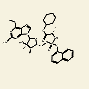 COc1nc(N)nc2c1ncn2C1O[C@H](COP(=O)(N[C@@H](C)C(=O)OC2CCCCC2)Oc2cccc3ccccc23)[C@@H](F)[C@@]1(C)O